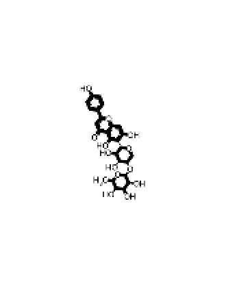 CC1O[C@@H](O[C@H]2CO[C@@H](c3c(O)cc4oc(-c5ccc(O)cc5)cc(=O)c4c3O)C(O)[C@H]2O)[C@@H](O)C(O)[C@H]1O